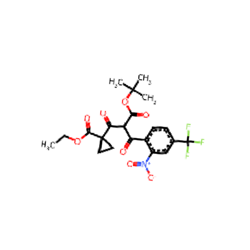 CCOC(=O)C1(C(=O)C(C(=O)OC(C)(C)C)C(=O)c2ccc(C(F)(F)F)cc2[N+](=O)[O-])CC1